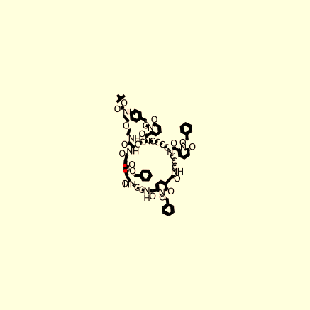 CC(C)(C)OC(=O)NCCOCCNC(=O)C1CCN(C(=O)c2cccc(=O)n2OCc2ccccc2)CCCCN(C(=O)c2cccc(=O)n2OCc2ccccc2)CCCNC(=O)c2ccc(n(OCc3ccccc3)c2=O)C(=O)NCCNC(=O)c2ccc(c(=O)n2OCc2ccccc2)C(=O)N1